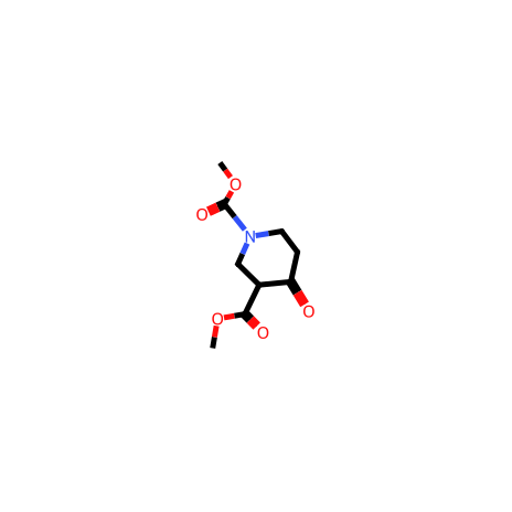 COC(=O)C1CN(C(=O)OC)CCC1=O